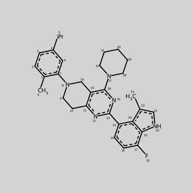 Cc1ccc(C(C)C)cc1N1CCc2nc(-c3ccc(F)c4[nH]cc(C)c34)nc(N3CCCCC3)c2C1